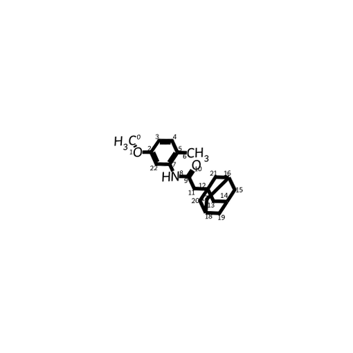 COc1ccc(C)c(NC(=O)CC23CC4CC(CC(C4)C2)C3)c1